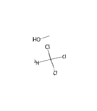 CO.[2H]C(Cl)(Cl)Cl